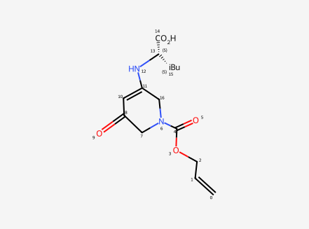 C=CCOC(=O)N1CC(=O)C=C(N[C@H](C(=O)O)[C@@H](C)CC)C1